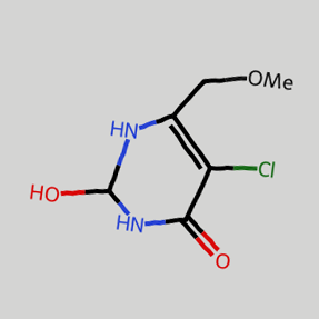 COCC1=C(Cl)C(=O)NC(O)N1